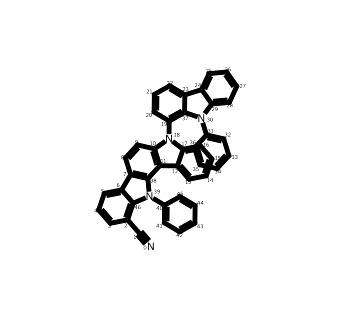 N#Cc1cccc2c3ccc4c(c5ccccc5n4-c4cccc5c6ccccc6n(-c6ccccc6)c45)c3n(-c3ccccc3)c12